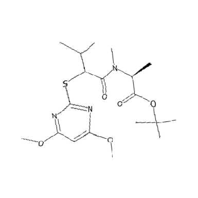 COc1cc(OC)nc(SC(C(=O)N(C)[C@@H](C)C(=O)OC(C)(C)C)C(C)C)n1